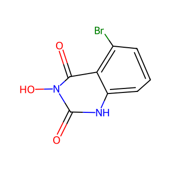 O=c1[nH]c2cccc(Br)c2c(=O)n1O